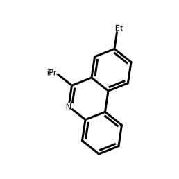 CCc1ccc2c(c1)c(C(C)C)nc1ccccc12